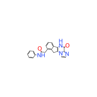 O=C(Cc1cccc2c1Cc1c-2[nH]c(=O)c2nccn12)Nc1ccccc1